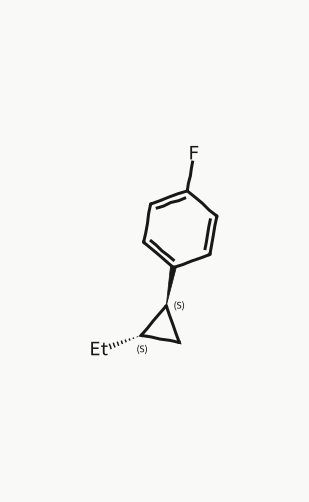 CC[C@H]1C[C@@H]1c1ccc(F)cc1